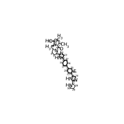 CC(C)[C@@H](C(=O)N1CCC[C@H]1c1ncc(-c2ccc(-c3ccc(-c4cnc(C5CCCN5)[nH]4)c(F)c3)cc2)[nH]1)N(C)C(=O)O